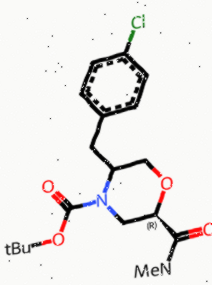 CNC(=O)[C@H]1CN(C(=O)OC(C)(C)C)C(Cc2ccc(Cl)cc2)CO1